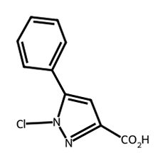 O=C(O)c1cc(-c2ccccc2)n(Cl)n1